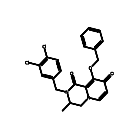 CC1Cn2ccc(=O)c(OCc3ccccc3)c2C(=O)N1Cc1ccc(Cl)c(Cl)c1